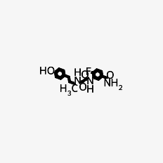 CC(CCc1ccc(O)cc1)NC(=O)C(=O)Nc1cc(C(N)=O)ccc1F